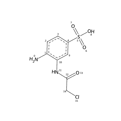 Nc1ccc(S(=O)(=O)O)cc1NC(=O)CCl